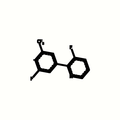 Fc1[c]c(C(F)(F)F)cc(-c2ncccc2F)c1